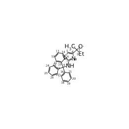 CCC(C)([O])c1csc(NC(c2ccccc2)(c2ccccc2)c2ccccc2)n1